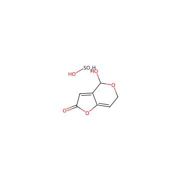 O=C1C=C2C(=CCOC2O)O1.O=S(=O)(O)O